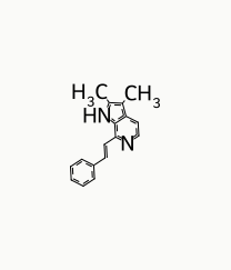 Cc1[nH]c2c(/C=C/c3ccccc3)nccc2c1C